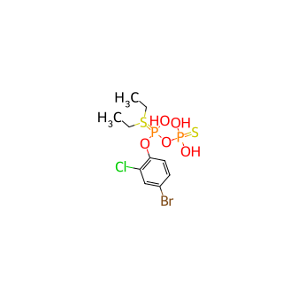 CCS(CC)=P(O)(Oc1ccc(Br)cc1Cl)OP(O)(O)=S